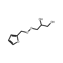 OCC(O)COOCc1ccco1